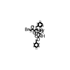 CC(C)C[C@H](NC(=O)OCc1ccccc1)C(=O)N[C@@H](Cc1ccccc1)C(=O)C(=O)CBr